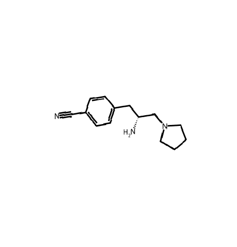 N#Cc1ccc(C[C@@H](N)CN2CCCC2)cc1